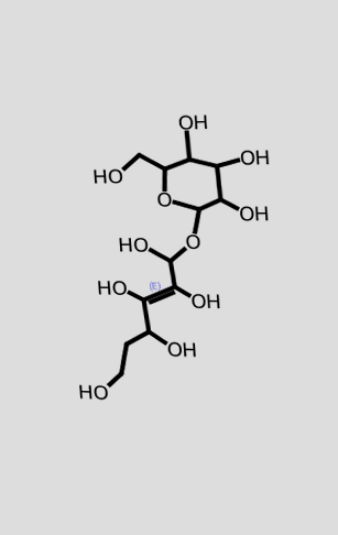 OCCC(O)/C(O)=C(\O)C(O)OC1OC(CO)C(O)C(O)C1O